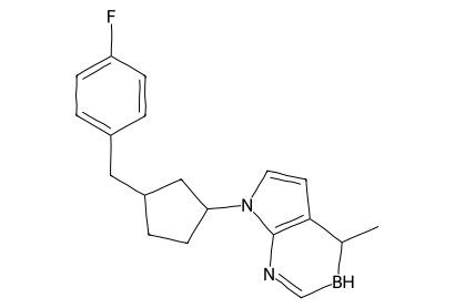 CC1BC=Nc2c1ccn2C1CCC(Cc2ccc(F)cc2)C1